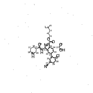 CC(C)CCCOC(=O)n1nc(NC(=O)[C@@H]2CCCNC2)c2cc(-c3cc(C#N)ccc3Cl)ccc21.O=CO